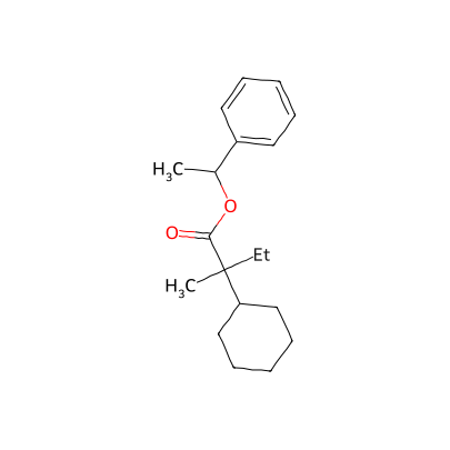 CCC(C)(C(=O)OC(C)c1ccccc1)C1CCCCC1